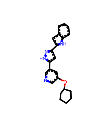 c1ccc2[nH]c(-c3cc(-c4cncc(OC5CCCCC5)c4)[nH]n3)cc2c1